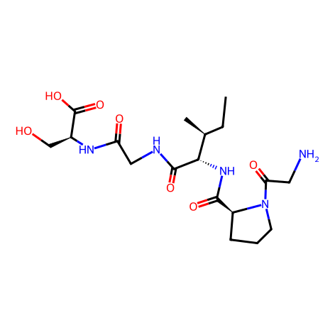 CC[C@H](C)[C@H](NC(=O)[C@@H]1CCCN1C(=O)CN)C(=O)NCC(=O)N[C@@H](CO)C(=O)O